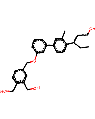 CCC(CCO)c1ccc(-c2cccc(OCc3ccc(CO)c(CO)c3)c2)cc1C